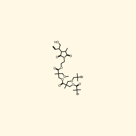 C=CC(CO)C1C(=O)N(CCOC(=O)C(C)(COC)COC(=O)C(C)(COCC(C)(C)Br)COC(=O)C(C)(C)Br)C(=O)C1C